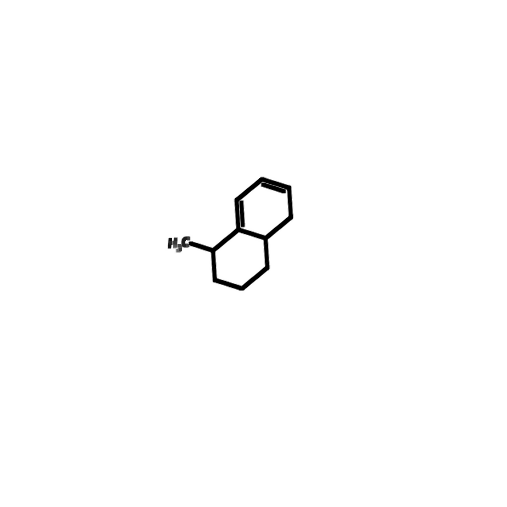 CC1CCCC2CC=CC=C12